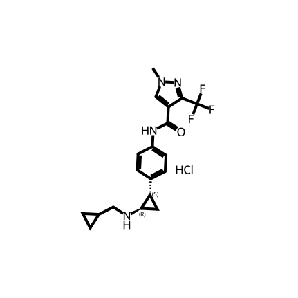 Cl.Cn1cc(C(=O)Nc2ccc([C@@H]3C[C@H]3NCC3CC3)cc2)c(C(F)(F)F)n1